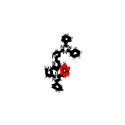 c1ccc(-c2cc(-c3cc(-c4nc(-c5ccccc5)nc(-c5ccccc5)n4)ccn3)nc(-c3ncccc3-c3nc(-c4ccccc4)cc(-c4ccccc4)n3)c2)cc1